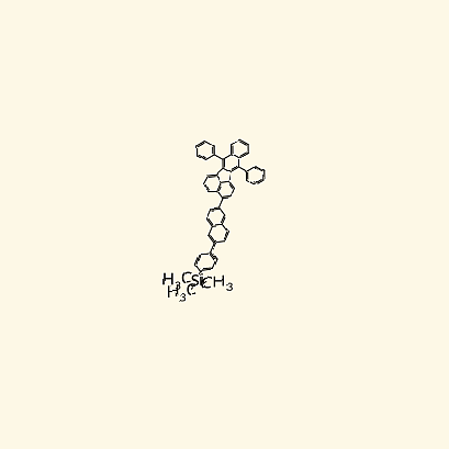 C[Si](C)(C)c1ccc(-c2ccc3cc(-c4ccc5c6c(cccc46)-c4c-5c(-c5ccccc5)c5ccccc5c4-c4ccccc4)ccc3c2)cc1